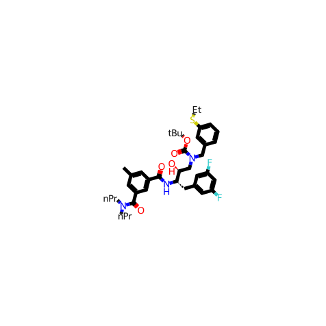 CCCN(CCC)C(=O)c1cc(C)cc(C(=O)N[C@@H](Cc2cc(F)cc(F)c2)[C@H](O)CN(Cc2cccc(SCC)c2)C(=O)OC(C)(C)C)c1